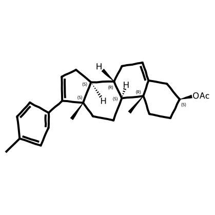 CC(=O)O[C@H]1CC[C@@]2(C)C(=CC[C@@H]3[C@@H]2CC[C@]2(C)C(c4ccc(C)cc4)=CC[C@@H]32)C1